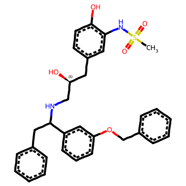 CS(=O)(=O)Nc1cc(C[C@H](O)CNC(Cc2ccccc2)c2cccc(OCc3ccccc3)c2)ccc1O